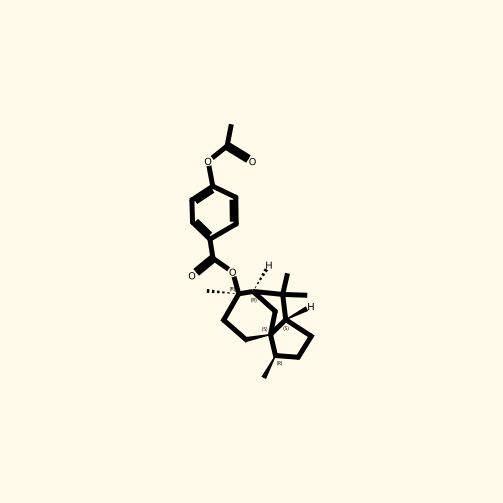 CC(=O)Oc1ccc(C(=O)O[C@]2(C)CC[C@@]34C[C@@H]2C(C)(C)[C@@H]3CC[C@H]4C)cc1